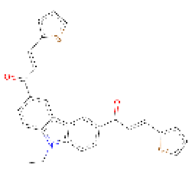 CCn1c2ccc(C(=O)/C=C/c3cccs3)cc2c2cc(C(=O)/C=C/c3cccs3)ccc21